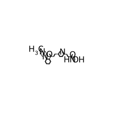 CN1CCN(c2ccccc2C(=O)C=Cc2ccc(C=CC(=O)NO)nc2)CC1